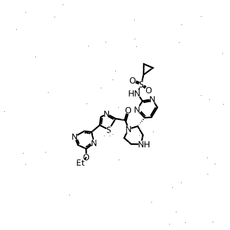 CCOc1cncc(-c2cnc(C(=O)N3CCNC[C@H]3c3ccnc(NS(=O)(=O)C4CC4)n3)s2)n1